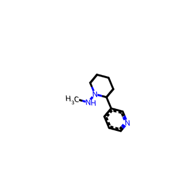 CNN1CCCCC1c1cccnc1